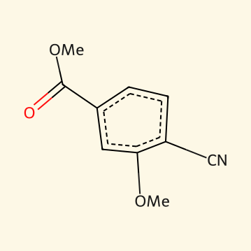 COC(=O)c1ccc(C#N)c(OC)c1